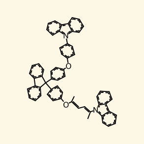 C/C(=C\C=C(/C)n1c2ccccc2c2ccccc21)Oc1ccc(C2(c3ccc(Oc4ccc(-n5c6ccccc6c6ccccc65)cc4)cc3)c3ccccc3-c3ccccc32)cc1